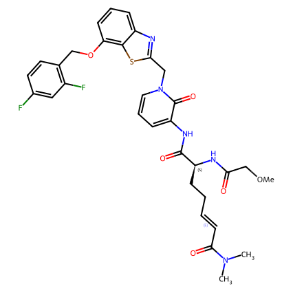 COCC(=O)N[C@@H](CC/C=C/C(=O)N(C)C)C(=O)Nc1cccn(Cc2nc3cccc(OCc4ccc(F)cc4F)c3s2)c1=O